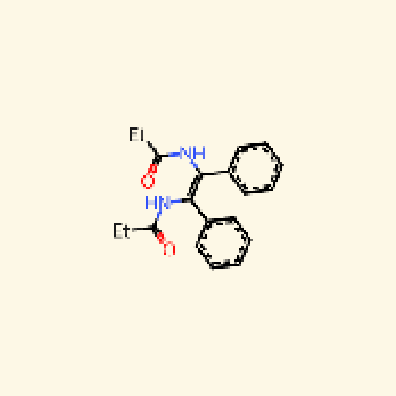 CCC(=O)NC(=C(NC(=O)CC)c1ccccc1)c1ccccc1